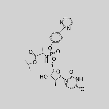 CC(C)OC(=O)[C@H](C)NP(=O)(OC[C@H]1O[C@@H](n2ccc(=O)[nH]c2=O)[C@@H](C)[C@@H]1O)Oc1ccc(-c2ncccn2)cc1